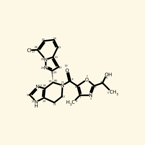 Cc1nc(C(C)O)oc1C(=O)N1CCc2[nH]cnc2[C@@H]1c1cc2cccc(Cl)n2n1